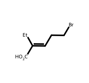 CC/C(=C\CCBr)C(=O)O